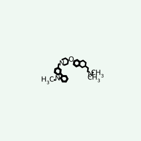 CCn1c2ccccc2c2cc(CN3CCC(Oc4ccc5c(c4)CCC(CCN(C)C)C5)CC3)ccc21